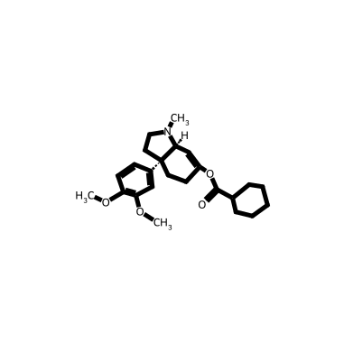 COc1ccc([C@@]23CCC(OC(=O)C4CCCCC4)=C[C@@H]2N(C)CC3)cc1OC